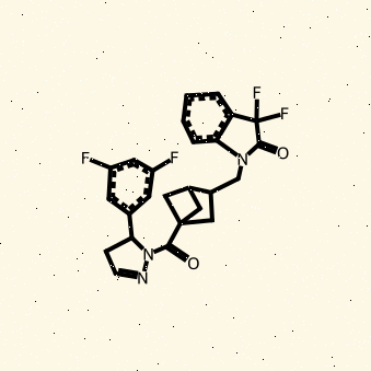 O=C(N1N=CCC1c1cc(F)cc(F)c1)C12CC(CN3C(=O)C(F)(F)c4ccccc43)C(C1)C2